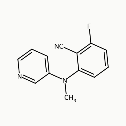 CN(c1cccnc1)c1cccc(F)c1C#N